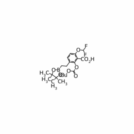 CC(C)(C)OC(=O)Oc1c(CCB2OC(C)(C)C(C)(C)O2)ccc(OC(F)F)c1C(=O)O